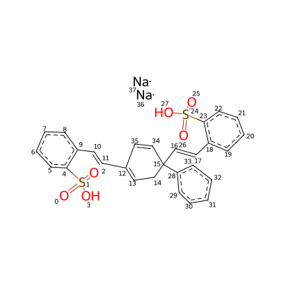 O=S(=O)(O)c1ccccc1C=CC1=CCC(C=Cc2ccccc2S(=O)(=O)O)(c2ccccc2)C=C1.[Na].[Na]